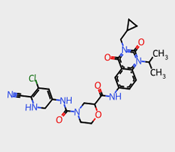 CC(C)n1c(=O)n(CC2CC2)c(=O)c2cc(NC(=O)C3CN(C(=O)NC4=CC(Cl)=C(C#N)NC4)CCO3)ccc21